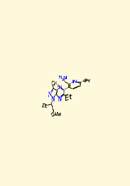 CCc1nc2c(nc1-c1ccc(C(C)C)nc1CN)c(C)nn2C(CC)COC